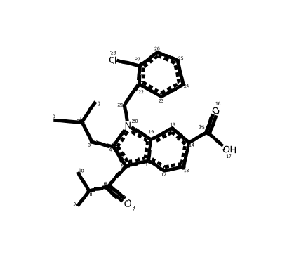 CC(C)Cc1c(C(=O)C(C)C)c2ccc(C(=O)O)cc2n1Cc1ccccc1Cl